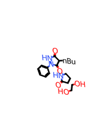 CCCCC1C(=O)NN(c2ccccc2)C1=O.O=C1CCCN1.OCCO